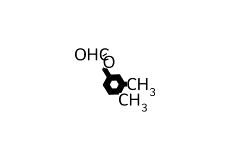 Cc1ccc(CO[C]=O)cc1C